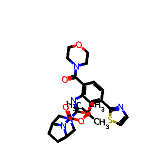 CC(C)(C)OC(=O)N1C2CCC1CN(c1nc3c(C(=O)N4CCOCC4)ccc(-c4nccs4)c3o1)C2